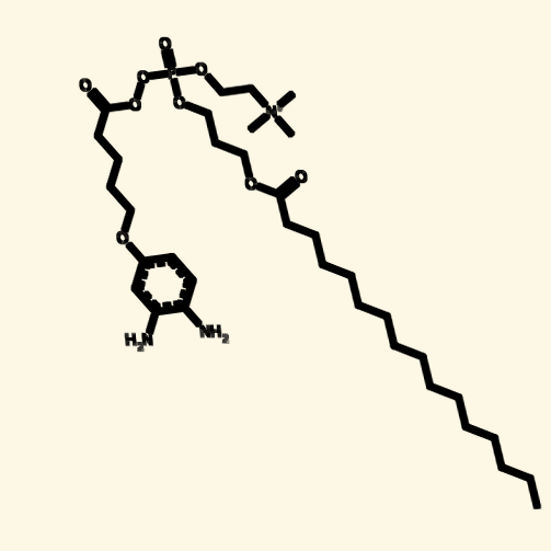 CCCCCCCCCCCCCCCC(=O)OCCCOP(=O)(OCC[N+](C)(C)C)OOC(=O)CCCCOc1ccc(N)c(N)c1